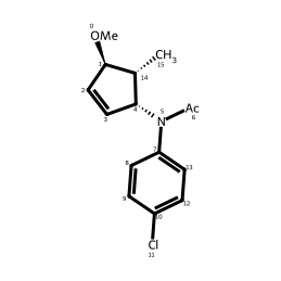 CO[C@@H]1C=C[C@@H](N(C(C)=O)c2ccc(Cl)cc2)[C@H]1C